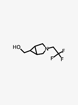 OCC1C2CN(CC(F)(F)F)CC12